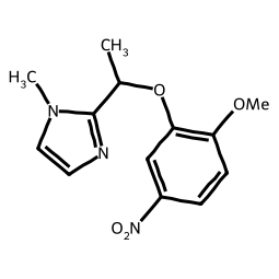 COc1ccc([N+](=O)[O-])cc1OC(C)c1nccn1C